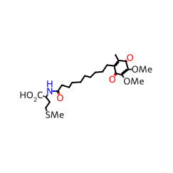 COC1=C(OC)C(=O)C(CCCCCCCCCC(=O)N[C@@H](CCSC)C(=O)O)=C(C)C1=O